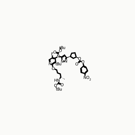 C[C@@H](CCCOc1cc(N(C(=O)OC(C)(C)C)c2cc([C@H]3CC[C@@H](OC(=O)Oc4ccc([N+](=O)[O-])cc4)C3)nn2C(C)(C)C)c(F)cn1)NC(=O)OC(C)(C)C